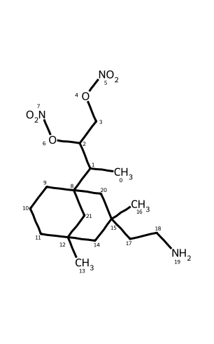 CC(C(CO[N+](=O)[O-])O[N+](=O)[O-])C12CCCC(C)(CC(C)(CCN)C1)C2